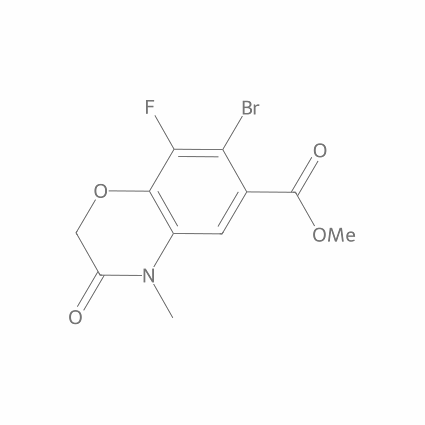 COC(=O)c1cc2c(c(F)c1Br)OCC(=O)N2C